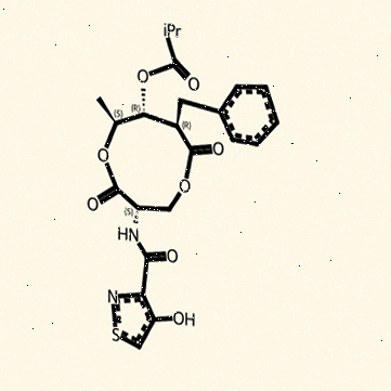 CC(C)C(=O)O[C@H]1[C@H](C)OC(=O)[C@@H](NC(=O)c2nscc2O)COC(=O)[C@@H]1Cc1ccccc1